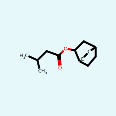 CC(C)CC(=O)OC1CC2CCC1CC2